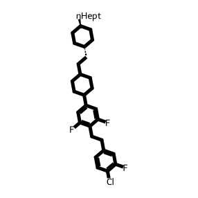 CCCCCCC[C@H]1CC[C@H](CCC2CCC(c3cc(F)c(CCc4ccc(Cl)c(F)c4)c(F)c3)CC2)CC1